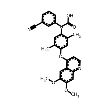 COc1cc2nccc(Oc3cc(C)c(N(C(=O)O)c4cccc(C#N)c4)cc3C)c2cc1OC